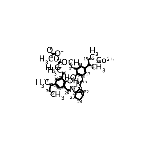 CC(=O)[O-].CC(=O)[O-].CCc1cc(C(C)CC)cc(C=NC2CC3CCC2(N=Cc2cc(C(C)CC)cc(CC)c2O)C3)c1O.[Co+2]